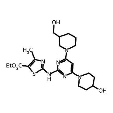 CCOC(=O)c1sc(Nc2nc(N3CCC(O)CC3)cc(N3CCCC(CO)C3)n2)nc1C